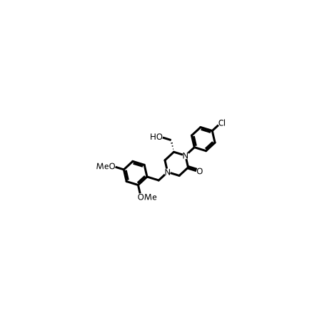 COc1ccc(CN2CC(=O)N(c3ccc(Cl)cc3)[C@@H](CO)C2)c(OC)c1